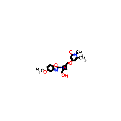 COc1ccc2oc(N3CC4(COc5cc(C)n(C)c(=O)c5)CC3(CO)C4)nc2c1